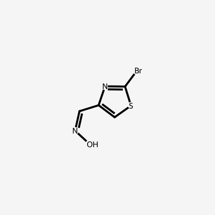 O/N=C\c1csc(Br)n1